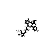 Cc1sc2c(c1C)C(c1ccc(Cl)cc1)=N[C@@H](CC(=O)NCc1cc[nH]c1CN)c1nnc(C)n1-2